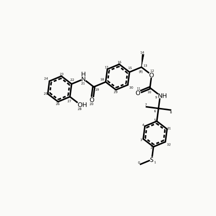 CSc1ccc(C(C)(C)NC(=O)O[C@H](C)c2ccc(C(=O)Nc3ccccc3O)cc2)cc1